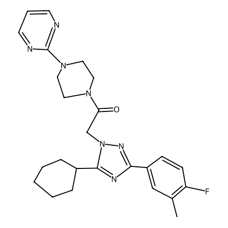 Cc1cc(-c2nc(C3CCCCC3)n(CC(=O)N3CCN(c4ncccn4)CC3)n2)ccc1F